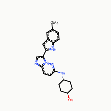 COc1ccc2[nH]c(-c3cnc4ccc(N[C@H]5CC[C@H](O)CC5)nn34)cc2c1